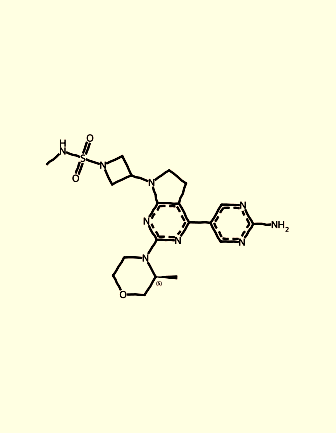 CNS(=O)(=O)N1CC(N2CCc3c(-c4cnc(N)nc4)nc(N4CCOC[C@@H]4C)nc32)C1